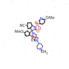 CCOc1ccc(OC)cc1C1(N2CC3(CN(C4CCN(C)CC4)C3)C2)C(=O)N(S(=O)(=O)c2ccc(OC)nc2)c2ccc(C#N)cc21